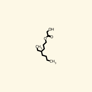 CCCCC(CC)CCCOC(=O)CO